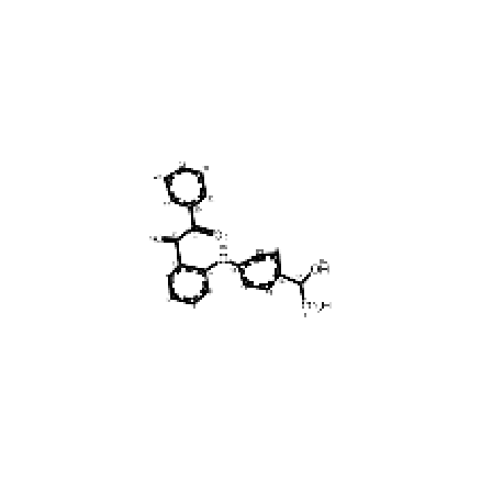 O=C(C(=O)c1ccccc1Oc1ccc(C(O)C(=O)O)cc1)c1ccccc1